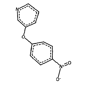 O=[N+]([O-])c1ccc(Oc2cccnc2)cc1